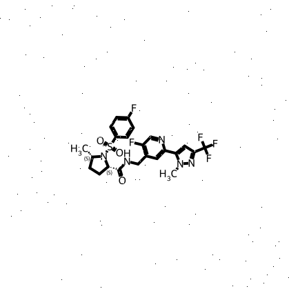 C[C@H]1CC[C@@H](C(=O)NCc2cc(-c3cc(C(F)(F)F)nn3C)ncc2F)N1S(=O)(=O)c1ccc(F)cc1